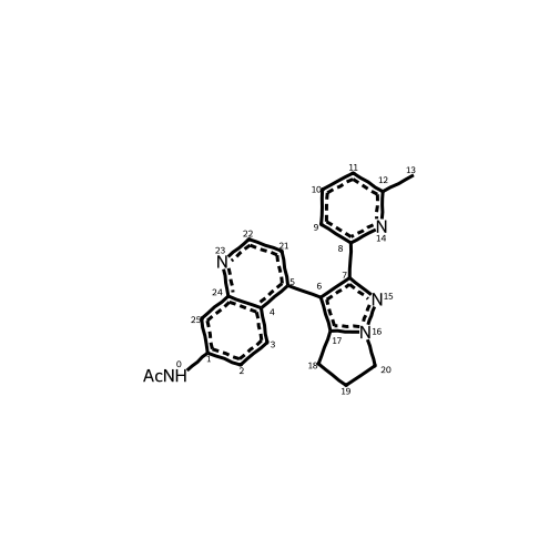 CC(=O)Nc1ccc2c(-c3c(-c4cccc(C)n4)nn4c3CCC4)ccnc2c1